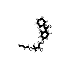 CCCCOC(C)(C)C(=O)COc1ccc2c(=O)c3ccccc3sc2c1